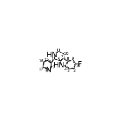 Fc1ccc2[nH]c3c(c2c1)CCNC3c1cccnc1